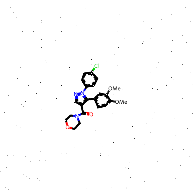 COc1ccc(-c2c(C(=O)N3CCOCC3)cnn2-c2ccc(Cl)cc2)cc1OC